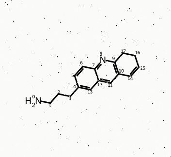 NCCCc1ccc2nc3c(cc2c1)C=CCC3